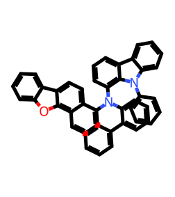 c1ccc(-c2ccccc2N(c2cccc3c2ccc2c4ccccc4oc32)c2cccc3c4ccccc4n(-c4ccccc4)c23)cc1